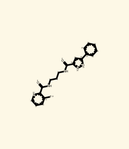 O=C(NCCCNC(=O)c1ncccc1F)c1cc(-c2ccccc2)on1